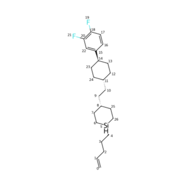 C=CCCC[Si@H]1CC[C@H](CC[C@H]2CC[C@H](c3ccc(F)c(F)c3)CC2)CC1